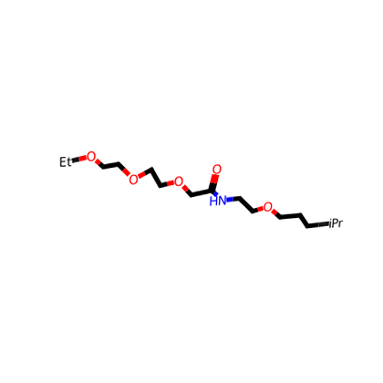 CCOCCOCCOCC(=O)NCCOCCCC(C)C